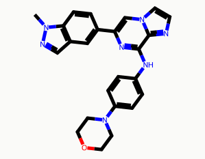 Cn1ncc2cc(-c3cn4ccnc4c(Nc4ccc(N5CCOCC5)cc4)n3)ccc21